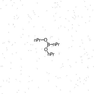 CCCOB(CCC)OCCC